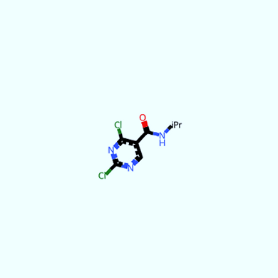 CC(C)NC(=O)c1cnc(Cl)nc1Cl